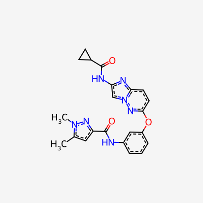 Cc1cc(C(=O)Nc2cccc(Oc3ccc4nc(NC(=O)C5CC5)cn4n3)c2)nn1C